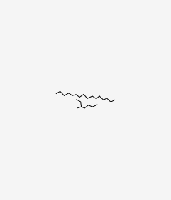 CCCCC(C)CC.CCCCCCCCCCCCCCCC